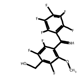 COc1c(F)c(CO)c(F)c(F)c1C(=N)c1c(F)c(F)c(F)c(F)c1F